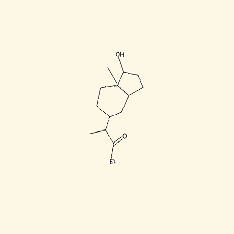 CCC(=O)C(C)C1CCC2(C)C(O)CCC2C1